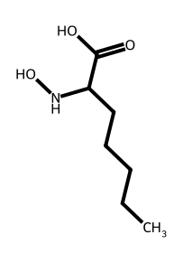 CCCCCC(NO)C(=O)O